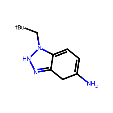 CC(C)(C)CN1NN=C2CC(N)=CC=C21